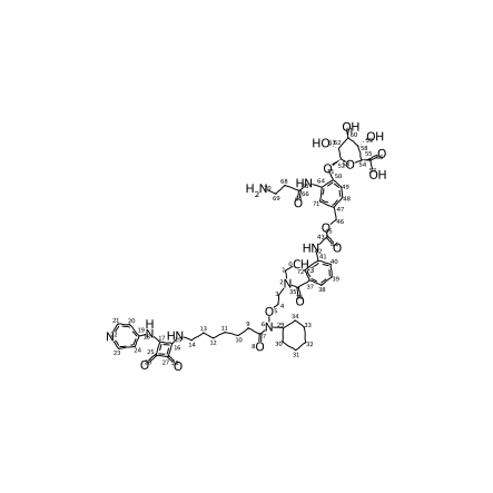 CCN(CCON(C(=O)CCCCCCNc1c(Nc2ccncc2)c(=O)c1=O)C1CCCCC1)C(=O)c1cccc(NC(=O)OCc2ccc(O[C@@H]3O[C@H](C(=O)O)[C@@H](O)[C@H](O)[C@H]3O)c(NC(=O)CCN)c2)c1